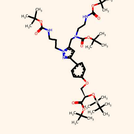 CC(C)(C)OC(=O)NCCCn1nc(-c2ccc(OC[C@@H](O[Si](C)(C)C(C)(C)C)C(=O)OC(C)(C)C)cc2)cc1CN(CCNC(=O)OC(C)(C)C)C(=O)OC(C)(C)C